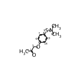 CC(=O)COc1ccc(SN(C)C)cc1